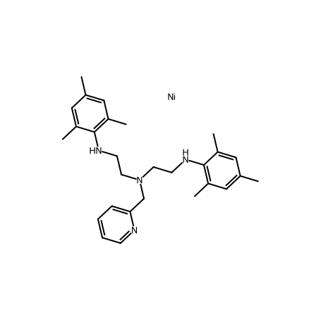 Cc1cc(C)c(NCCN(CCNc2c(C)cc(C)cc2C)Cc2ccccn2)c(C)c1.[Ni]